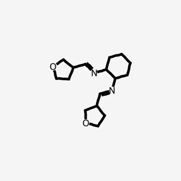 C(=NC1CCCCC1N=CC1CCOC1)C1CCOC1